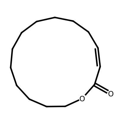 O=C1C=CCCCCCCCCCCCO1